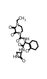 CCN1CCN(C(=O)NC(C(=O)NC2CNC2=O)C2=C(Cl)CCCC2)C(=O)C1=O